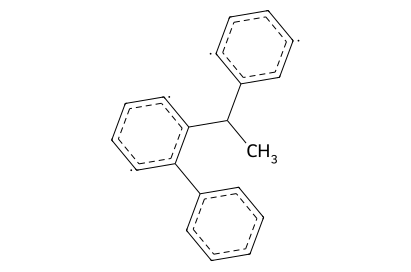 CC(c1[c]cc[c]c1)c1[c]cc[c]c1-c1ccccc1